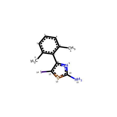 Cc1cccc(C)c1-c1nc(N)sc1I